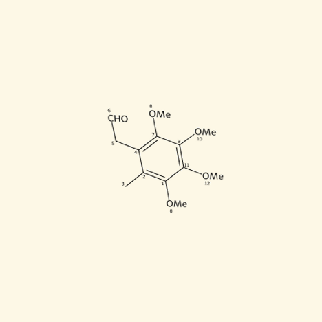 COc1c(C)c(CC=O)c(OC)c(OC)c1OC